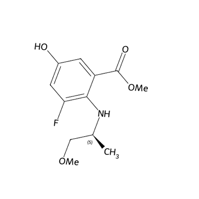 COC[C@H](C)Nc1c(F)cc(O)cc1C(=O)OC